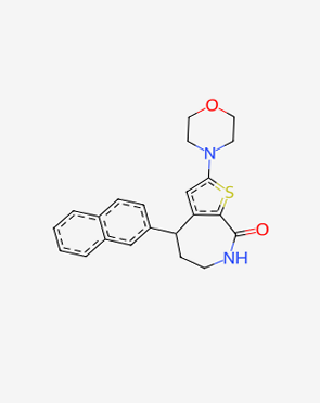 O=C1NCCC(c2ccc3ccccc3c2)c2cc(N3CCOCC3)sc21